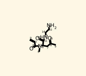 C=CC(=O)N(C)C(CC(C)=O)C(=O)NCCN